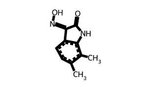 Cc1ccc2c(c1C)NC(=O)C2=NO